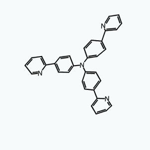 c1ccc(-c2ccc(N(c3ccc(-c4ccccn4)cc3)c3ccc(-c4ccccn4)cc3)cc2)nc1